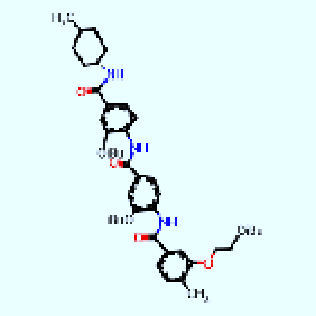 Cc1ccc(C(=O)Nc2ccc(C(=O)Nc3ccc(C(=O)N[C@H]4CC[C@H](C)CC4)cc3OCC(C)C)cc2OCC(C)C)cc1OCCOCC(C)C